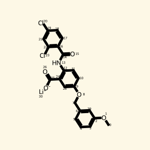 COc1cccc(COc2ccc(NC(=O)c3ccc(Cl)cc3Cl)c(C(=O)[O-])c2)c1.[Li+]